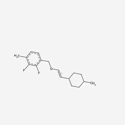 Cc1ccc(CO/C=C/C2CCC(C)CC2)c(F)c1F